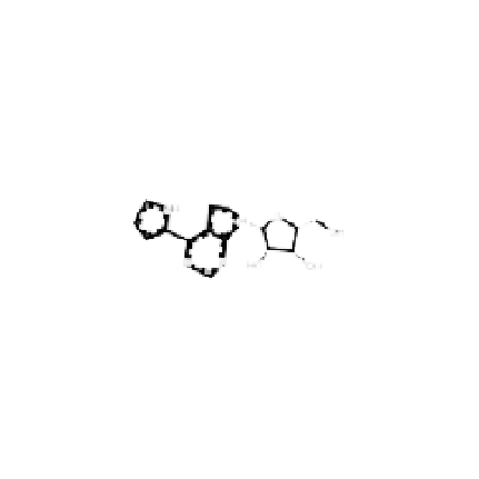 OC[C@H]1O[C@@H](n2ccc3c(-c4ccc[nH]4)ncnc32)[C@H](O)[C@@H]1O